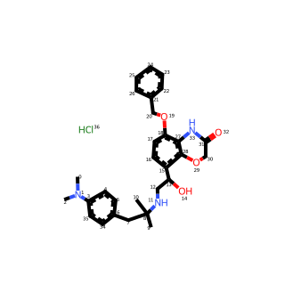 CN(C)c1ccc(CC(C)(C)NCC(O)c2ccc(OCc3ccccc3)c3c2OCC(=O)N3)cc1.Cl